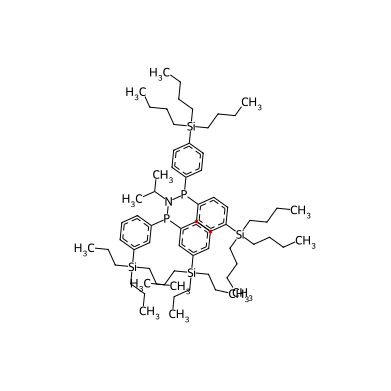 CCCC[Si](CCCC)(CCCC)c1ccc(P(c2ccc([Si](CCCC)(CCCC)CCCC)cc2)N(C(C)C)P(c2cccc([Si](CCC)(CCC)CCC)c2)c2cccc([Si](CCC)(CCC)CCC)c2)cc1